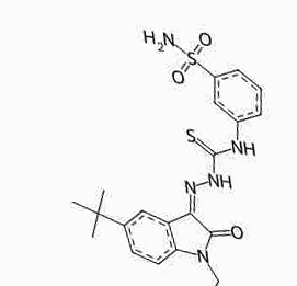 CCN1C(=O)C(=NNC(=S)Nc2cccc(S(N)(=O)=O)c2)c2cc(C(C)(C)C)ccc21